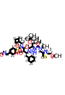 COCc1nc(CN(C)C(=O)N[C@H](C(=O)N[C@@H](Cc2ccccc2)[C@@H](O)CN(CC2CCC2)S(=O)(=O)c2ccc(C=NO)cc2)[C@H](C)OC(C)(C)C)cs1